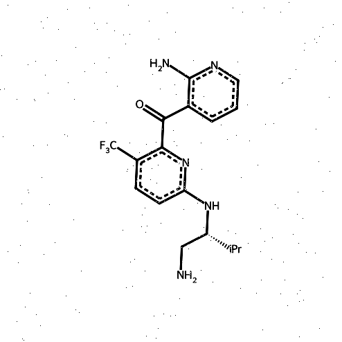 CC(C)[C@H](CN)Nc1ccc(C(F)(F)F)c(C(=O)c2cccnc2N)n1